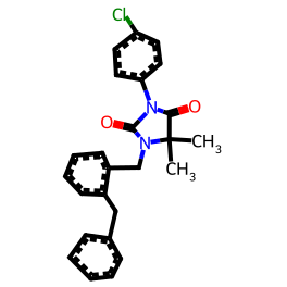 CC1(C)C(=O)N(c2ccc(Cl)cc2)C(=O)N1Cc1ccccc1Cc1ccccc1